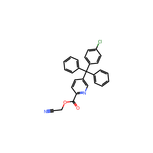 N#CCOC(=O)c1ccc(C(c2ccccc2)(c2ccccc2)c2ccc(Cl)cc2)cn1